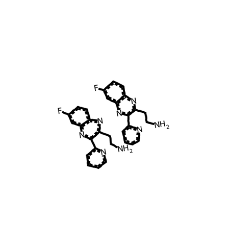 NCCc1nc2ccc(F)cc2nc1-c1ccccn1.NCCc1nc2ccc(F)cc2nc1-c1ccccn1